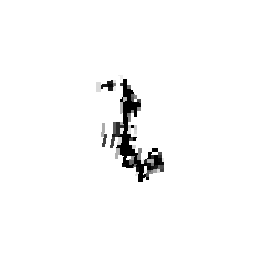 CC(C)(CO)c1nc(CCNC(=O)Nc2nc3ccc(-c4cncc(S(C)(=O)=O)c4)nc3s2)no1